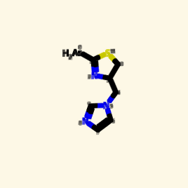 [AsH2]C1=NC(Cn2ccnc2)CS1